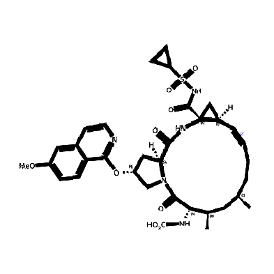 COc1ccc2c(O[C@@H]3C[C@H]4C(=O)N[C@]5(C(=O)NS(=O)(=O)C6CC6)C[C@H]5/C=C\CC[C@@H](C)C[C@@H](C)[C@H](NC(=O)O)C(=O)N4C3)nccc2c1